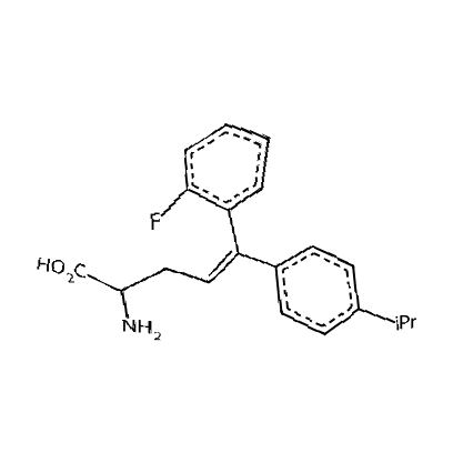 CC(C)c1ccc(/C(=C/CC(N)C(=O)O)c2ccccc2F)cc1